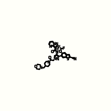 N#Cc1cc2cc(OC(F)F)c(-c3nn(CC(=O)N4CCC(CN5CCOCC5)CC4)cc3NC(=O)c3cnn4cccnc34)cc2s1